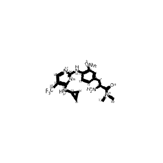 COc1cc(CC(N)C(=O)N(C)C)ccc1Nc1ncc(C(F)(F)F)c(NC2CC2)n1